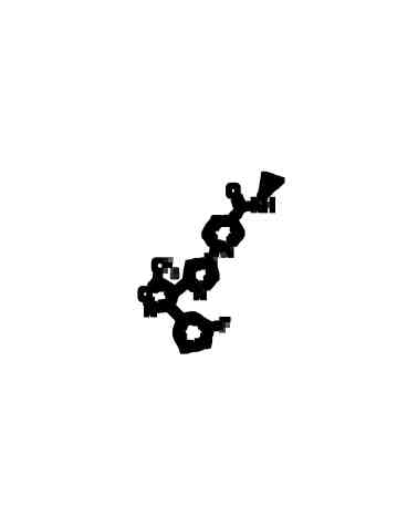 O=C(NC1CC1)c1ccc(-n2cnc(-c3c(-c4cccc(F)c4)noc3C(F)(F)F)c2)nc1